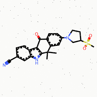 CC1(C)c2cc(N3CCC(S(C)(=O)=O)C3)ccc2C(=O)c2c1[nH]c1cc(C#N)ccc21